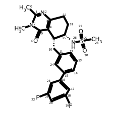 Cc1nc2c(c(=O)n1C)[C@@H](Cc1cccc(-c3cc(F)cc(F)c3)c1)[C@@H](NS(C)(=O)=O)CC2